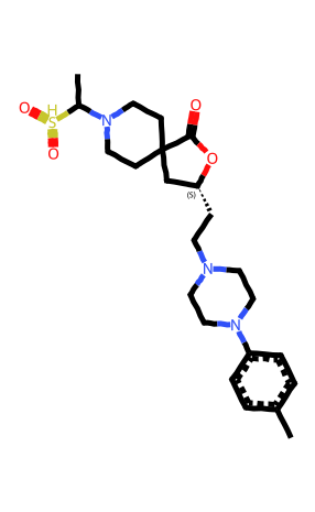 Cc1ccc(N2CCN(CC[C@@H]3CC4(CCN(C(C)[SH](=O)=O)CC4)C(=O)O3)CC2)cc1